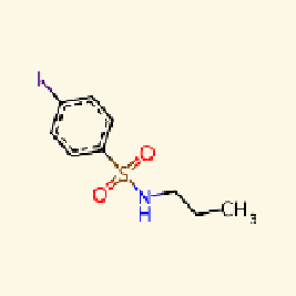 CCCNS(=O)(=O)c1ccc(I)cc1